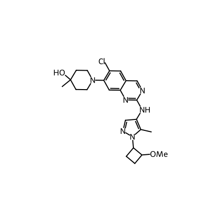 COC1CCC1n1ncc(Nc2ncc3cc(Cl)c(N4CCC(C)(O)CC4)cc3n2)c1C